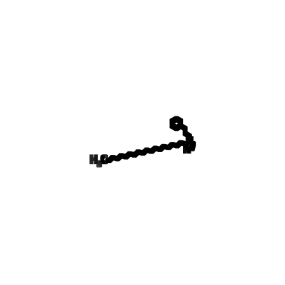 CCCCCCCCCCCCCCCCCCCc1nccn1CCCc1ccccc1